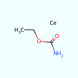 CCOC(N)=O.[Ce]